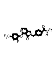 CCNC(=O)c1ccc(CN2Cc3ccnc(Oc4ccc(C(F)(F)F)cc4F)c3C2=O)cc1